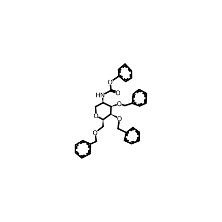 O=C(N[C@@H]1CO[C@H](COCc2ccccc2)[C@H](OCc2ccccc2)[C@@H]1OCc1ccccc1)Oc1ccccc1